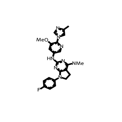 CNc1nc(Nc2cnc(-n3cnc(C)c3)c(OC)c2)nc2c1CCN2c1ccc(F)cc1